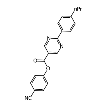 CCCc1ccc(-c2ncc(C(=O)Oc3ccc(C#N)cc3)cn2)cc1